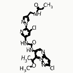 CCC(=O)NCc1cnn(-c2ncc(NC(=O)Nc3cnc4cc(Cl)nn4c3[C@H](C)OC)cc2Cl)c1